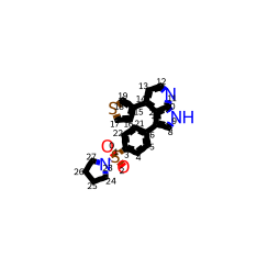 O=S(=O)(c1ccc(-c2c[nH]c3nccc(-c4ccsc4)c23)cc1)N1CCCC1